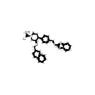 O=C(O)N1CCC(c2ccc(CSc3nc4ccccc4s3)cc2)C(OCc2ccc3ccccc3c2)C1